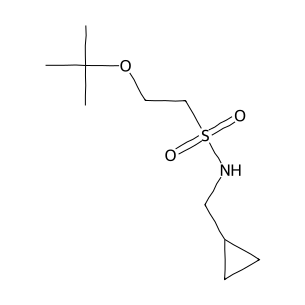 CC(C)(C)OCCS(=O)(=O)NCC1CC1